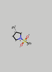 CC(C)[C@H]1CCN(S(=O)(=O)C(C)C)C1